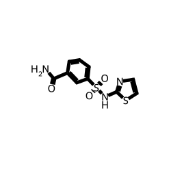 NC(=O)c1cccc(S(=O)(=O)Nc2nccs2)c1